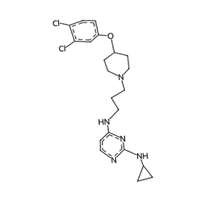 Clc1ccc(OC2CCN(CCCNc3ccnc(NC4CC4)n3)CC2)cc1Cl